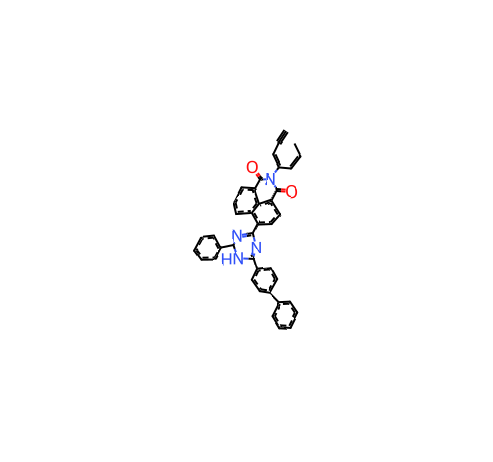 C#C/C=C(\C=C/C)N1C(=O)c2cccc3c(C4=NC(c5ccccc5)NC(c5ccc(-c6ccccc6)cc5)=N4)ccc(c23)C1=O